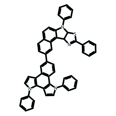 c1ccc(C2=NC3c4c(ccc5ccc(-c6ccc7c(c6)c6ccn(-c8ccccc8)c6c6ccn(-c8ccccc8)c76)cc45)N(c4ccccc4)C3S2)cc1